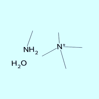 CN.C[N+](C)(C)C.O